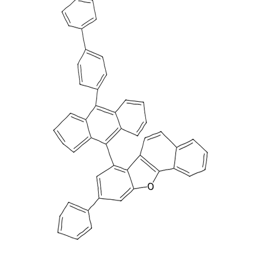 c1ccc(-c2ccc(-c3c4ccccc4c(-c4cc(-c5ccccc5)cc5oc6c7ccccc7ccc6c45)c4ccccc34)cc2)cc1